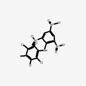 O=[N+]([O-])c1cc([N+](=O)[O-])c(Nc2c(Cl)c(Cl)c(I)c(Cl)c2Cl)c([N+](=O)[O-])c1